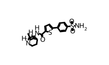 C[C@H]1[C@H](NC(=O)c2ccc(-c3ccc(S(N)(=O)=O)cc3)s2)C2CCN1CC2